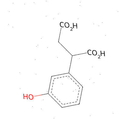 O=C(O)CC(C(=O)O)c1cccc(O)c1